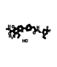 CCN1CC(F)(F)C[C@H]1CNC(=O)Cc1ccc(-c2ccc3c(=O)c(C(=O)NC)c(N)n(CC)c3n2)cc1.Cl